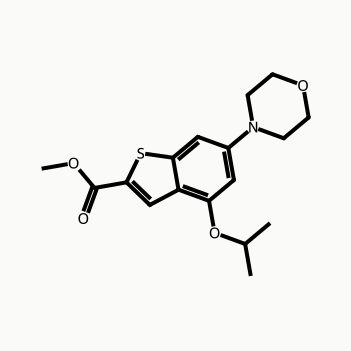 COC(=O)c1cc2c(OC(C)C)cc(N3CCOCC3)cc2s1